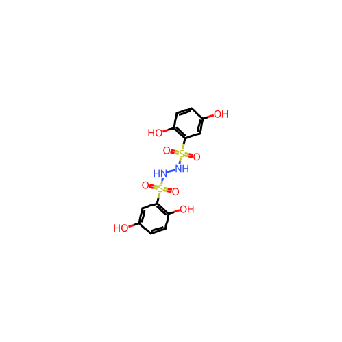 O=S(=O)(NNS(=O)(=O)c1cc(O)ccc1O)c1cc(O)ccc1O